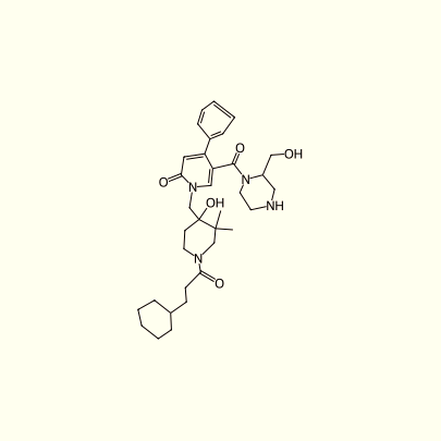 CC1(C)CN(C(=O)CCC2CCCCC2)CCC1(O)Cn1cc(C(=O)N2CCNCC2CO)c(-c2ccccc2)cc1=O